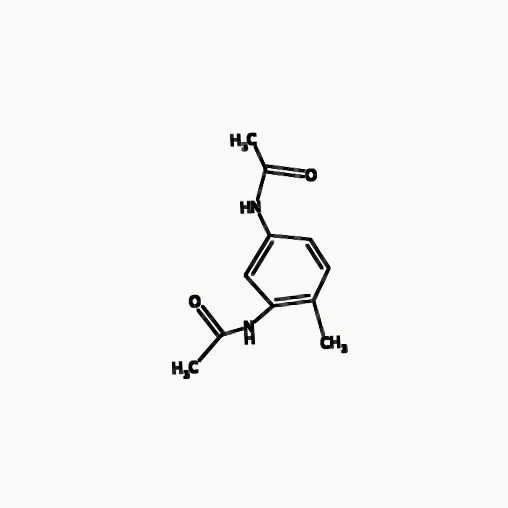 CC(=O)Nc1ccc(C)c(NC(C)=O)c1